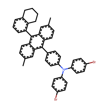 Cc1ccc2c(-c3cccc4c3CCCC4)c3cc(C)ccc3c(-c3ccc(N(c4ccc(Br)cc4)c4ccc(Br)cc4)cc3)c2c1